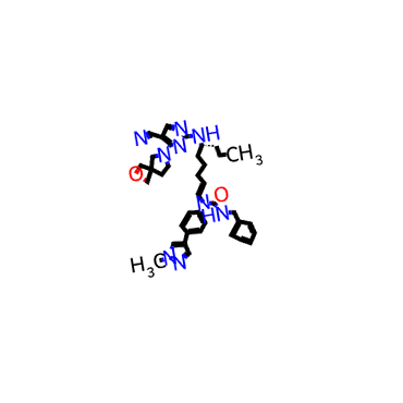 CCC[C@H](CCC/C=C/N(C(=O)NCc1ccccc1)c1ccc(-c2cnn(C)c2)cc1)Nc1ncc(C#N)c(N2CCC3(COC3)C2)n1